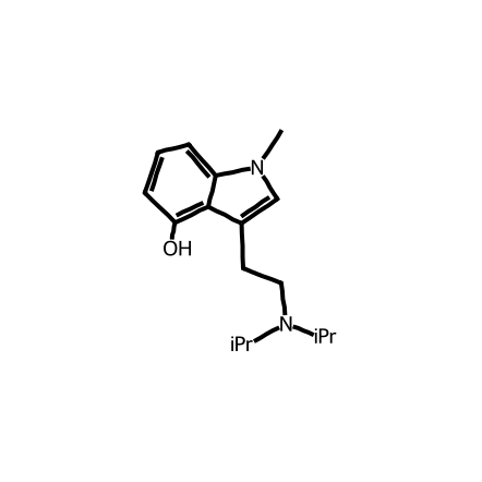 CC(C)N(CCc1cn(C)c2cccc(O)c12)C(C)C